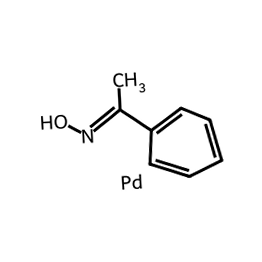 CC(=NO)c1ccccc1.[Pd]